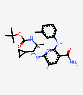 Cc1cccc(Nc2nc(N[C@H](C3CC3)[C@H](C)NC(=O)OC(C)(C)C)c(F)cc2C(N)=O)c1